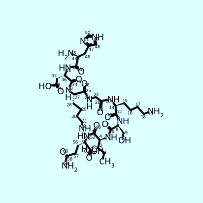 CC[C@H](C)[C@H](NC(=O)[C@H](CO)NC(=O)[C@H](CCCCN)NC(=O)CNC(=O)[C@H](CCCCN)NC(=O)[C@H](CC(=O)O)NC(=O)[C@@H](N)Cc1c[nH]cn1)C(=O)N[C@@H](CCC(N)=O)C(=O)O